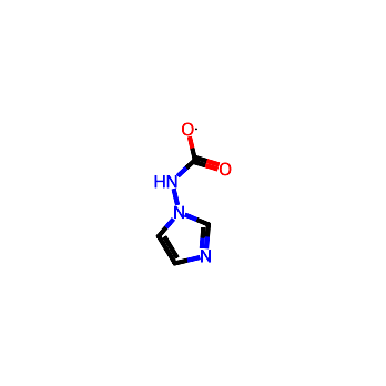 [O]C(=O)Nn1ccnc1